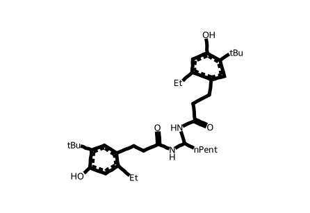 CCCCCC(NC(=O)CCc1cc(C(C)(C)C)c(O)cc1CC)NC(=O)CCc1cc(C(C)(C)C)c(O)cc1CC